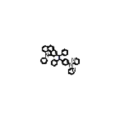 c1ccc(/C(=C(/c2ccccc2)c2cc3ccc4cccc5c4c3c(c2)n5-c2ccccc2)c2ccc(N(c3ccccn3)c3ccccn3)cc2)cc1